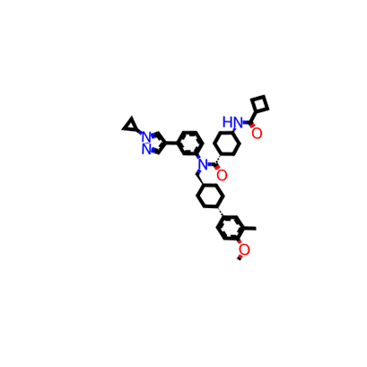 COc1ccc([C@H]2CC[C@H](CN(c3cccc(-c4cnn(C5CC5)c4)c3)C(=O)[C@H]3CC[C@H](NC(=O)C4CCC4)CC3)CC2)cc1C